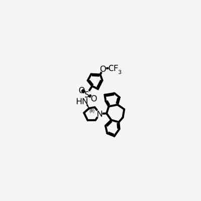 O=S(=O)(N[C@@H]1CCCN(C2c3ccccc3CCc3ccccc32)C1)c1ccc(OC(F)(F)F)cc1